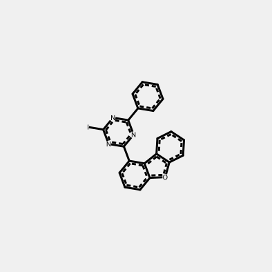 Ic1nc(-c2ccccc2)nc(-c2cccc3oc4ccccc4c23)n1